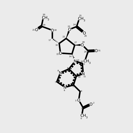 CC(=O)OCc1ncnc2c1ncn2[C@@H]1O[C@H](COC(C)=O)[C@@H](OC(C)=O)[C@H]1OC(C)=O